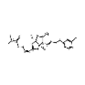 Cc1cccc(CC/C=C/[C@@H]2[C@H]3CC(/C=C\CCC(=O)N(C)C)=C[C@H]3C[C@H]2O)c1